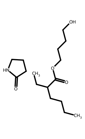 CCCCC(CC)C(=O)OCCCCO.O=C1CCCN1